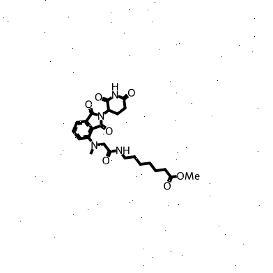 COC(=O)CCCCCCNC(=O)CN(C)c1cccc2c1C(=O)N(C1CCC(=O)NC1=O)C2=O